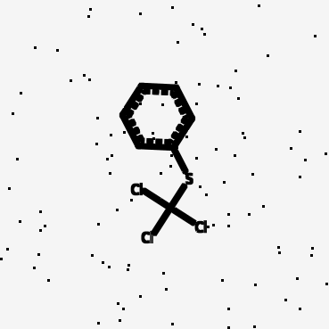 ClC(Cl)(Cl)Sc1ccccc1